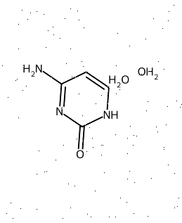 Nc1cc[nH]c(=O)n1.O.O